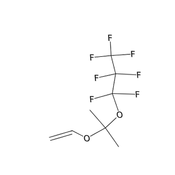 C=COC(C)(C)OC(F)(F)C(F)(F)C(F)(F)F